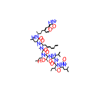 C=C/C=C\C=C\CC(C(=O)N(C)C(CC(C)C)C(=O)N[C@@H](C)CC/C(C=C)=C/C(=C/C(=O)NC)OC)N(C)C(=O)CN(CCCC)C(=O)C(NC(=O)C(CC(C)C)N(C)C(=O)C(NC(=O)C(CC(C)C)N(C)C=O)[C@@H](C)CC)[C@@H](C)O